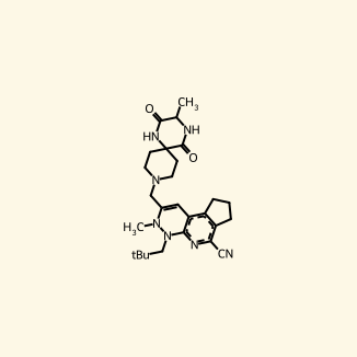 CC1NC(=O)C2(CCN(CC3=Cc4c(nc(C#N)c5c4CCC5)N(CC(C)(C)C)N3C)CC2)NC1=O